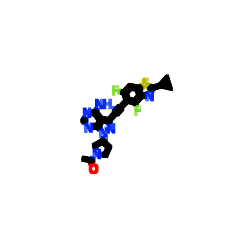 CC(=O)N1CC[C@H](n2nc(C#Cc3c(F)cc4sc(C5CC5)nc4c3F)c3c(N)ncnc32)C1